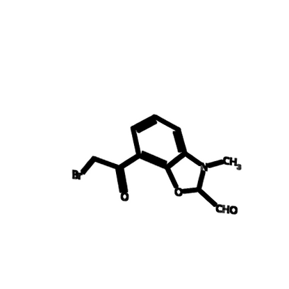 CN1c2cccc(C(=O)CBr)c2OC1C=O